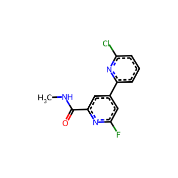 CNC(=O)c1cc(-c2cccc(Cl)n2)cc(F)n1